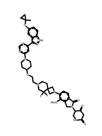 COc1c(N2CC3(CCN(CCOC4CCN(c5cc(-c6n[nH]c7ccc(OC8(C)CC8)cc67)ncn5)CC4)CC3(F)F)C2)ccc2c1CN(C1CNC(=O)CC1=O)C2=O